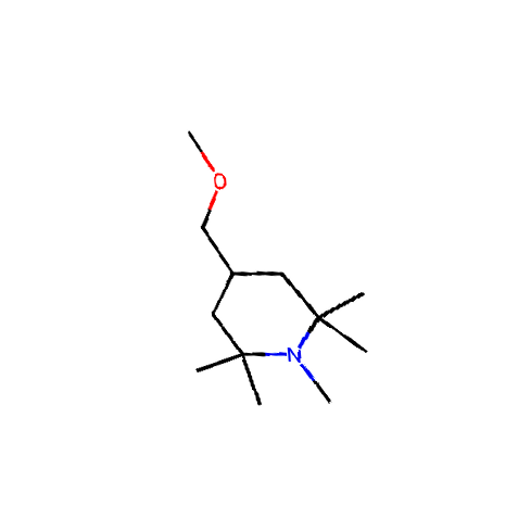 COCC1CC(C)(C)N(C)C(C)(C)C1